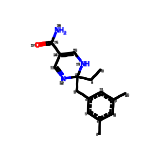 CCC1(Cc2cc(C)cc(C)c2)N=CC(C(N)=O)=CN1